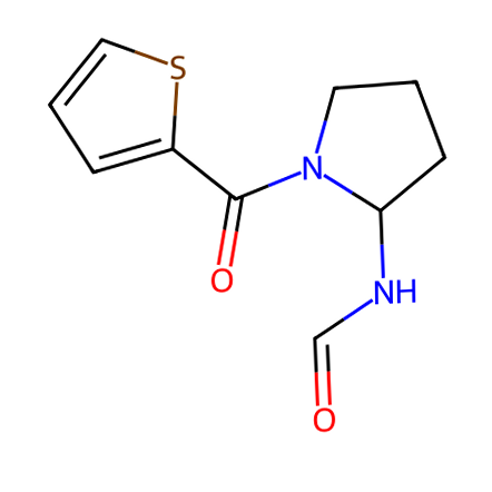 O=CNC1CCCN1C(=O)c1cccs1